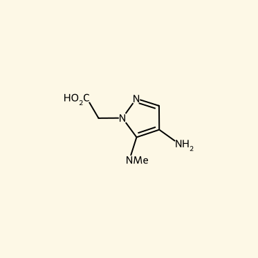 CNc1c(N)cnn1CC(=O)O